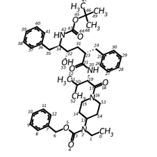 CCN(C(=O)OCc1ccccc1)C1CCN(C(=O)[C@@H](NC(=O)[C@@H](Cc2ccccc2)C[C@H](O)[C@@H](Cc2ccccc2)NC(=O)OC(C)(C)C)C(C)C)CC1